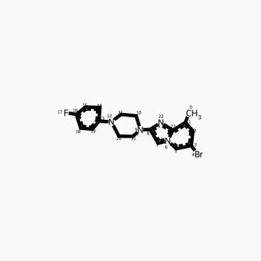 Cc1cc(Br)cn2cc(N3CCN(c4ccc(F)cc4)CC3)nc12